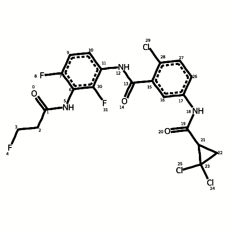 O=C(CCF)Nc1c(F)ccc(NC(=O)c2cc(NC(=O)C3CC3(Cl)Cl)ccc2Cl)c1F